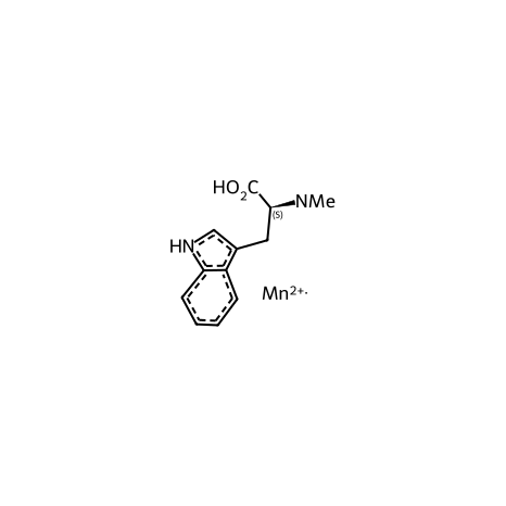 CN[C@@H](Cc1c[nH]c2ccccc12)C(=O)O.[Mn+2]